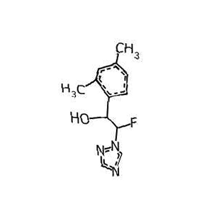 Cc1ccc(C(O)C(F)n2cncn2)c(C)c1